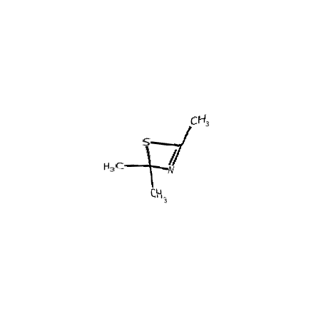 CC1=NC(C)(C)S1